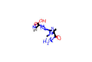 Cc1nc(N=Nc2c(C(C)C)noc2O)n(C)c1C(N)=O